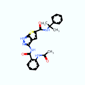 CC(=O)Nc1ccccc1C(=O)Nc1n[nH]c2sc(C(=O)NC(C)(C)c3ccccc3)cc12